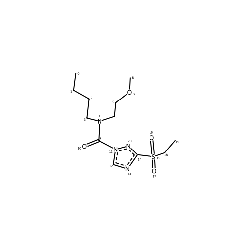 CCCCN(CCOC)C(=O)n1cnc(S(=O)(=O)CC)n1